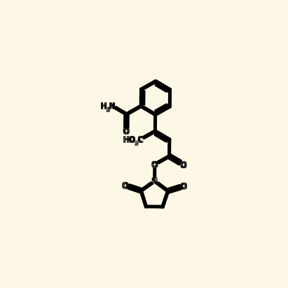 NC(=O)c1ccccc1/C(=C/C(=O)ON1C(=O)CCC1=O)C(=O)O